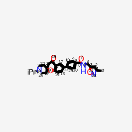 Cc1cc(CNC(=O)c2ccc(-c3ccc4c(c3)C(=O)CC3(CCN(C(C)C)CC3)O4)cc2)on1